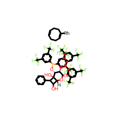 OC1C(c2ccccc2)[C@@]2(O)[C@@H]1O[C@@H](O)[C@H](OP(c1cc(C(F)(F)F)cc(C(F)(F)F)c1)c1cc(C(F)(F)F)cc(C(F)(F)F)c1)[C@H]2OP(c1cc(C(F)(F)F)cc(C(F)(F)F)c1)c1cc(C(F)(F)F)cc(C(F)(F)F)c1.[Rh]/[C]1=C/CC/C=C\CC1